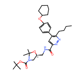 CCCCc1nnc(C(=O)NC[C@H]2CN(C(=O)OC(C)(C)C)C(C)(C)O2)cc1-c1ccc(OC2CCCCC2)cc1